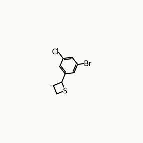 Clc1cc(Br)cc(C2[CH]CS2)c1